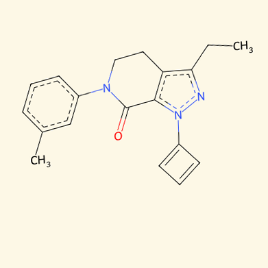 CCc1nn(C2=CC=C2)c2c1CCN(c1cccc(C)c1)C2=O